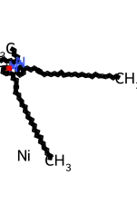 CCCCCCCCCCCCCCCCCCCCCCCC#CCCCc1ccccc1N=C(CCCC)C(CCCC)=Nc1ccccc1CCCC#CCCCCCCCCCCCCCCCCCCCCCCC.[Ni]